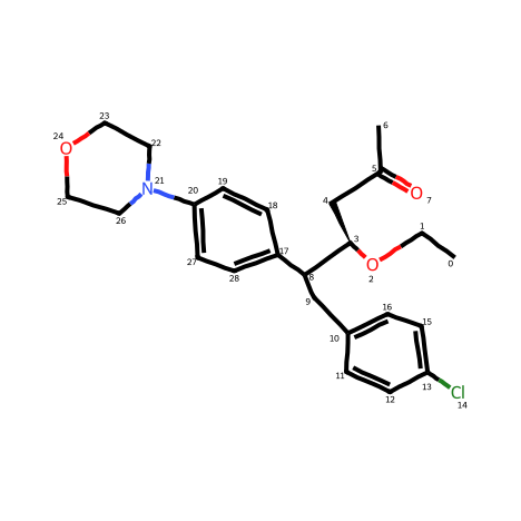 CCO[C@H](CC(C)=O)C(Cc1ccc(Cl)cc1)c1ccc(N2CCOCC2)cc1